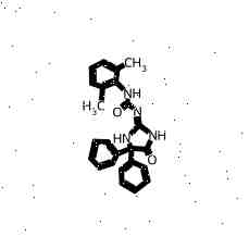 Cc1cccc(C)c1NC(=O)N=C1NC(=O)C(c2ccccc2)(c2ccccc2)N1